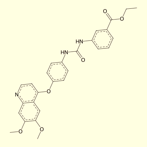 CCOC(=O)c1cccc(NC(=O)Nc2ccc(Oc3ccnc4cc(OC)c(OC)cc34)cc2)c1